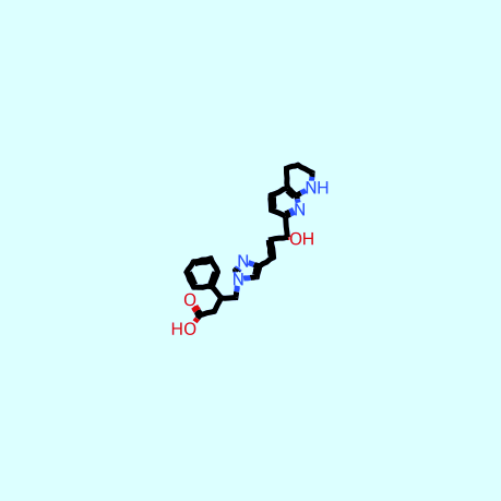 O=C(O)CC(Cn1cnc(/C=C/C(O)c2ccc3c(n2)NCCC3)c1)c1ccccc1